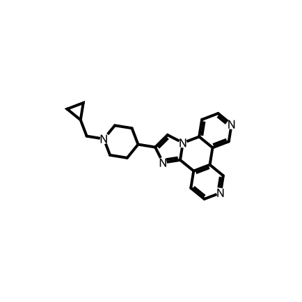 c1cc2c(cn1)c1cnccc1n1cc(C3CCN(CC4CC4)CC3)nc21